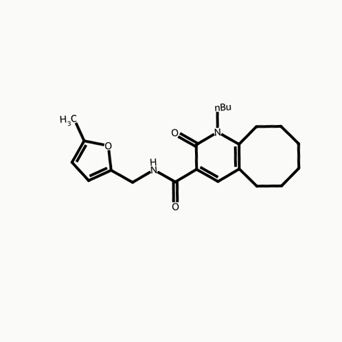 CCCCn1c2c(cc(C(=O)NCc3ccc(C)o3)c1=O)CCCCCC2